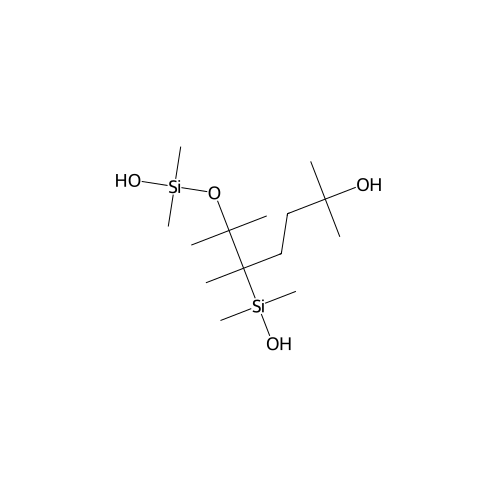 CC(C)(O)CCC(C)(C(C)(C)O[Si](C)(C)O)[Si](C)(C)O